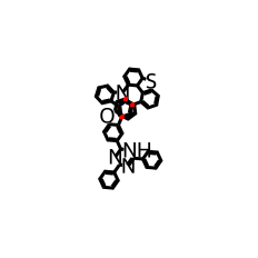 C1=CC2Sc3cccc(-c4ccc5oc6ccc(C7N=C(c8ccccc8)N=C(c8ccccc8)N7)cc6c5c4)c3C2C(n2c3ccccc3c3ccccc32)=C1